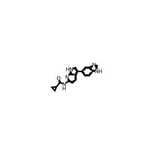 O=C(Nc1ccc2c(-c3ccc4[nH]cnc4c3)c[nH]c2n1)C1CC1